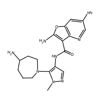 CCCc1cnc2c(C(=O)Nc3cnn(C)c3N3CCCC(N)CC3)c(N)oc2c1